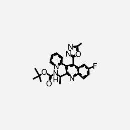 Cc1nnc(-c2c(-c3ccccn3)c(C(C)NC(=O)OC(C)(C)C)nc3ccc(F)cc23)o1